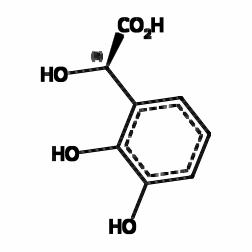 O=C(O)[C@H](O)c1cccc(O)c1O